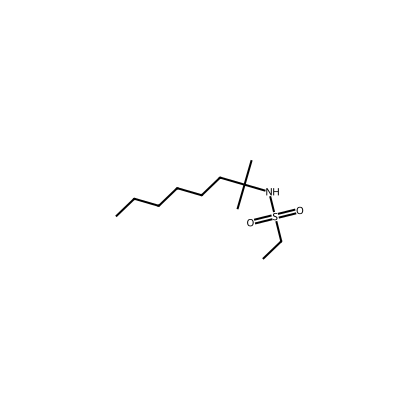 CCCCCCC(C)(C)NS(=O)(=O)CC